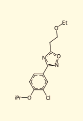 CCOCCc1nc(-c2ccc(OC(C)C)c(Cl)c2)no1